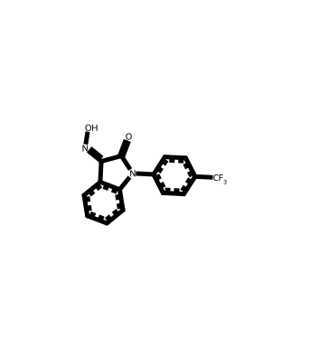 O=C1C(=NO)c2ccccc2N1c1ccc(C(F)(F)F)cc1